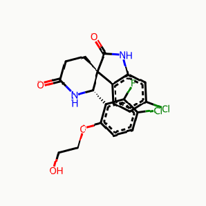 O=C1CC[C@]2(C(=O)Nc3cc(Cl)ccc32)[C@H](c2c(OCCO)ccc(Cl)c2F)N1